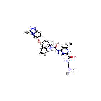 CCN(C)CCNC(=O)c1nc(NC(=O)N[C@@]2(C=O)C=C[C@@H](Oc3ccc4nnc(C(C)(C)C)n4c3)c3ccccc32)cc(C(C)(C)C)n1